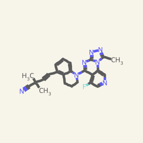 Cc1nnc2nc(N3CCCc4c(C#CC(C)(C)C#N)cccc43)c3c(F)cncc3n12